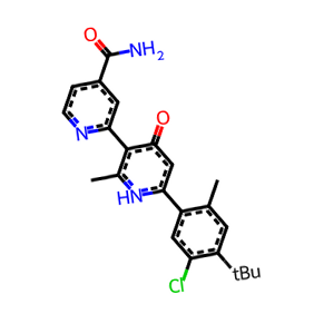 Cc1cc(C(C)(C)C)c(Cl)cc1-c1cc(=O)c(-c2cc(C(N)=O)ccn2)c(C)[nH]1